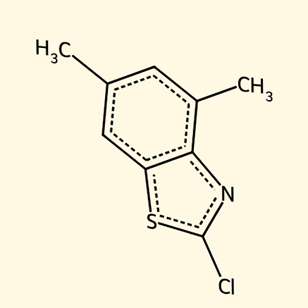 Cc1cc(C)c2nc(Cl)sc2c1